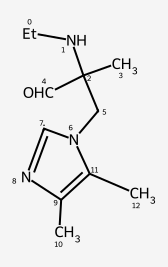 CCNC(C)(C=O)Cn1[c]nc(C)c1C